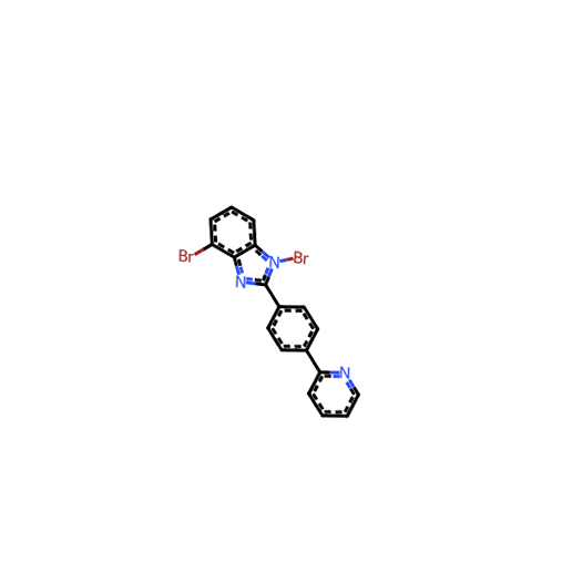 Brc1cccc2c1nc(-c1ccc(-c3ccccn3)cc1)n2Br